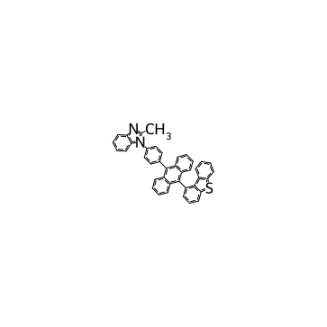 Cc1nc2ccccc2n1-c1ccc(-c2c3ccccc3c(-c3cccc4sc5ccccc5c34)c3ccccc23)cc1